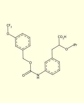 CC(C)OC(Cc1cccc(NC(=O)OCc2cccc(OC(F)(F)F)c2)c1)C(=O)O